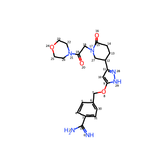 N=C(N)c1ccc(COc2cc(C3CCC(=O)N(CC(=O)N4CCOCC4)C3)n[nH]2)cc1